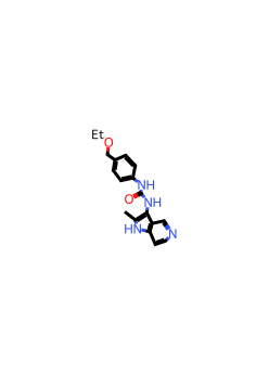 CCOCc1ccc(NC(=O)Nc2c(C)[nH]c3ccncc23)cc1